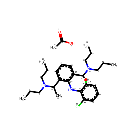 CC(=O)O.CCCN(CCC)C(C)c1cccc(C(C)N(CCC)CCC)c1Nc1c(Cl)cccc1Cl